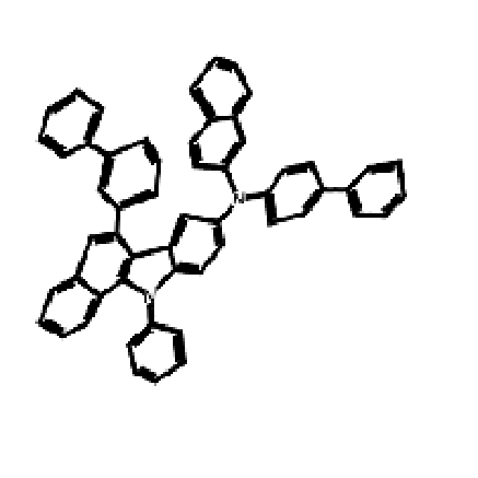 c1ccc(-c2ccc(N(c3ccc4ccccc4c3)c3ccc4c(c3)c3c(-c5cccc(-c6ccccc6)c5)cc5ccccc5c3n4-c3ccccc3)cc2)cc1